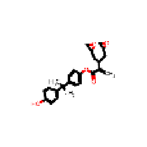 C=C(C(=O)Oc1ccc(C(C)(C)c2ccc(O)cc2)cc1)C(CC1CO1)CC1CO1